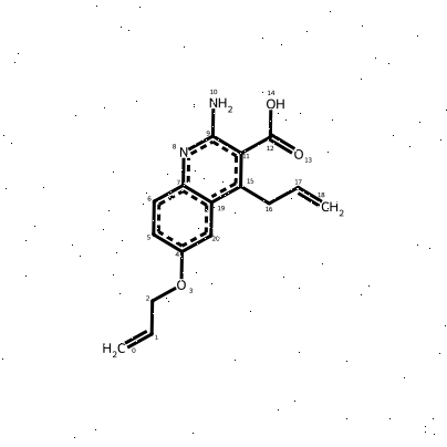 C=CCOc1ccc2nc(N)c(C(=O)O)c(CC=C)c2c1